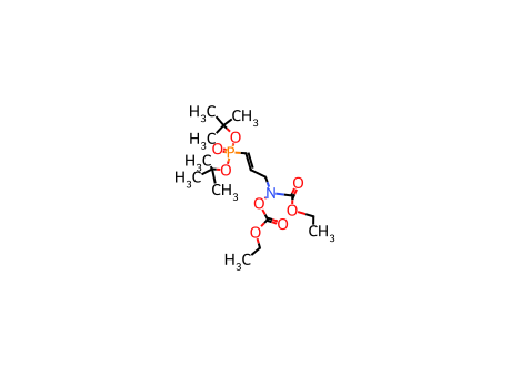 CCOC(=O)ON(C/C=C/P(=O)(OC(C)(C)C)OC(C)(C)C)C(=O)OCC